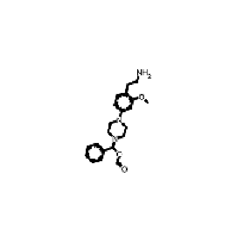 COc1cc(N2CCN(C(OC=O)c3ccccc3)CC2)ccc1CCN